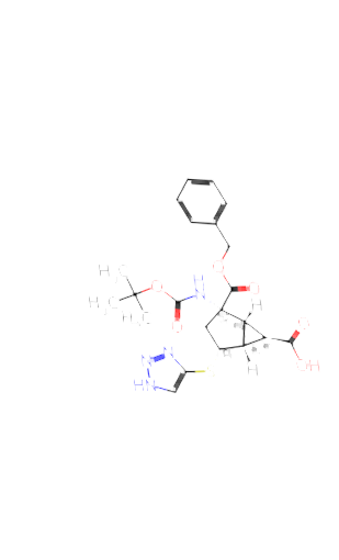 CC(C)(C)OC(=O)N[C@@]1(C(=O)OCc2ccccc2)C[C@@H](Sc2c[nH]nn2)[C@H]2[C@H](C(=O)O)[C@H]21